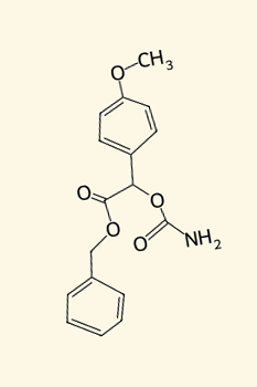 COc1ccc(C(OC(N)=O)C(=O)OCc2ccccc2)cc1